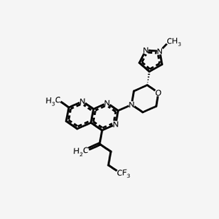 C=C(CCC(F)(F)F)c1nc(N2CCO[C@@H](c3cnn(C)c3)C2)nc2nc(C)ccc12